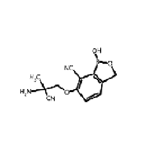 CC(N)(C#N)COc1ccc2c(c1C#N)B(O)OC2